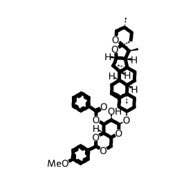 COc1ccc(C2OCC3O[C@@H](O[C@H]4CC[C@@]5(C)C(=CC[C@H]6[C@@H]7C[C@@H]8O[C@]9(CC[C@@H](C)CO9)[C@@H](C)[C@@H]8[C@@]7(C)CC[C@@H]65)C4)[C@@H](O)C(OC(=O)c4ccccc4)[C@@H]3O2)cc1